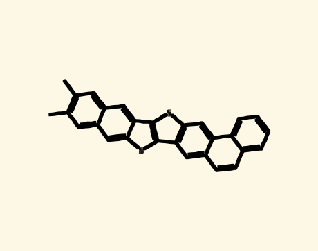 Cc1cc2cc3sc4c5cc6ccc7ccccc7c6cc5sc4c3cc2cc1C